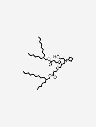 CCCCCCCCCC(CCCCC)COC(=O)CCOCC(CN(CCO)C1CCC1)OCCC(=O)OCC(CCCCCC)CCCCCCCC